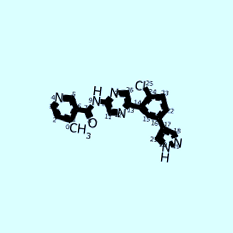 Cc1ccncc1C(=O)Nc1cnc(-c2cc(-c3cn[nH]c3)ccc2Cl)cn1